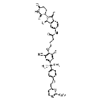 CSc1nccc(COc2ccc(C(C)(C)c3cc(Cl)c(OCCCC(=O)Nc4ccc5c(c4)C(=O)N(C4CCC(=O)NC4=O)C5=O)c(C#N)c3)cc2)n1